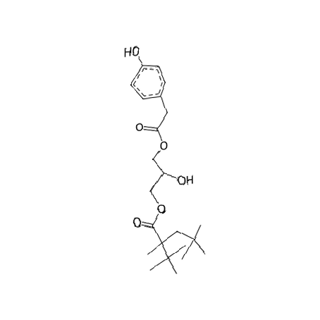 CC(C)(C)CC(C)(C(=O)OCC(O)COC(=O)Cc1ccc(O)cc1)C(C)(C)C